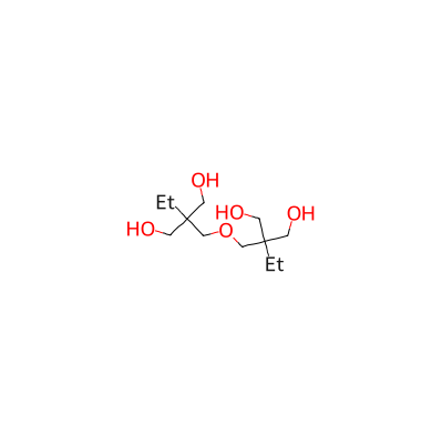 CCC(CO)(CO)COCC(CC)(CO)CO